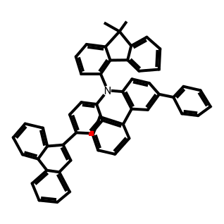 CC1(C)c2ccccc2-c2c(N(c3ccc(-c4cc5ccccc5c5ccccc45)cc3)c3ccc(-c4ccccc4)cc3-c3ccccc3)cccc21